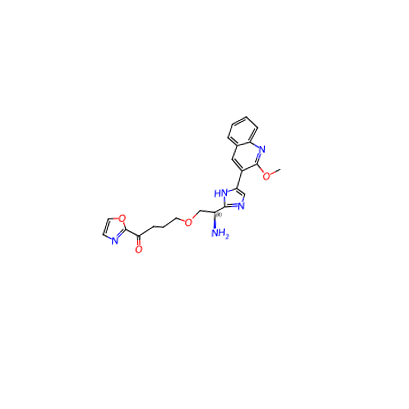 COc1nc2ccccc2cc1-c1cnc([C@@H](N)COCCCC(=O)c2ncco2)[nH]1